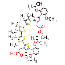 CCOC(=O)Cc1cc(-c2c(OC)cccc2OC(C)C)sc1-c1sc(-c2sc(-c3sc(-c4sc(-c5c(OC)cccc5OC(C)C)c(C)c4CC(=O)O)c(C)c3C)c(C)c2C)c(C)c1C